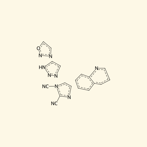 N#Cc1nccn1C#N.c1c[nH]nn1.c1ccc2ncccc2c1.c1conn1